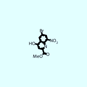 COC(=O)c1cc(O)c2cc(Br)cc([N+](=O)[O-])c2n1